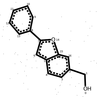 OCc1ccc2cc(-c3ccccc3)oc2c1